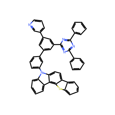 c1ccc(-c2nc(-c3ccccc3)nc(-c3cc(-c4cccnc4)cc(-c4cccc(-n5c6ccccc6c6c7sc8ccccc8c7ccc65)c4)c3)n2)cc1